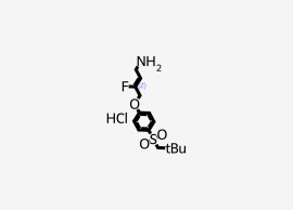 CC(C)(C)CS(=O)(=O)c1ccc(OC/C(F)=C/CN)cc1.Cl